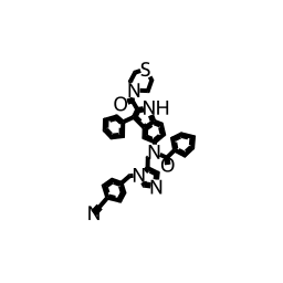 N#Cc1ccc(Cn2cncc2CN(C(=O)c2ccccc2)c2ccc3[nH]c(C(=O)N4CCSCC4)c(-c4ccccc4)c3c2)cc1